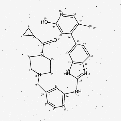 O=C(C1CC1)N1CCN(Cc2ccnc(Nc3nc4ccc(-c5cc(O)ncc5F)cc4[nH]3)c2)CC1